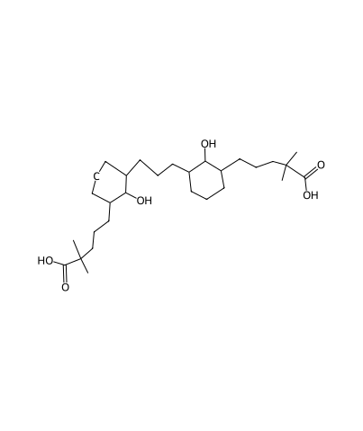 CC(C)(CCCC1CCCC(CCCC2CCCC(CCCC(C)(C)C(=O)O)C2O)C1O)C(=O)O